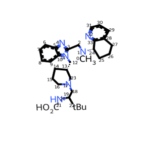 CN(Cc1nc2ccccc2n1C[C@H]1CCCN(CC(NC(=O)O)C(C)(C)C)C1)[C@H]1CCCc2cccnc21